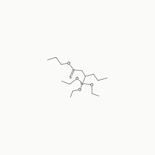 CCCOC(=S)CC(CCC)[Si](OCC)(OCC)OCC